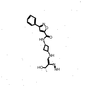 C[C@H](O)/C(=C/N[C@H]1C[C@@H](NC(=O)c2cc(-c3ccccc3)no2)C1)N=N